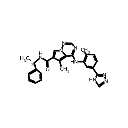 Cc1ccc(-c2nnc[nH]2)cc1Nc1ncnn2cc(C(=O)N[C@@H](C)c3ccccc3)c(C)c12